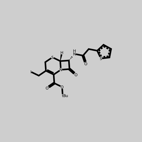 CC(C)(C)OC(=O)C1=C(CI)CS[C@@H]2[C@H](NC(=O)Cc3cccs3)C(=O)N12